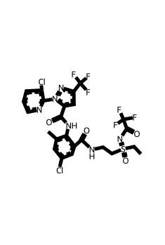 CCS(=O)(CCNC(=O)c1cc(Cl)cc(C)c1NC(=O)c1cc(C(F)(F)F)nn1-c1ncccc1Cl)=NC(=O)C(F)(F)F